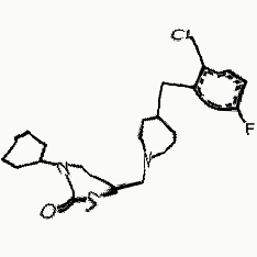 O=C1SC(CN2CCC(Cc3cc(F)ccc3Cl)CC2)CN1C1CCCCC1